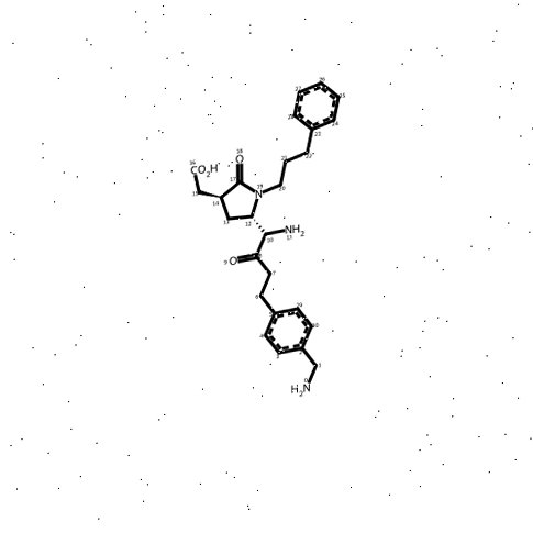 NCc1ccc(CCC(=O)C(N)[C@@H]2C[C@@H](CC(=O)O)C(=O)N2CCCc2ccccc2)cc1